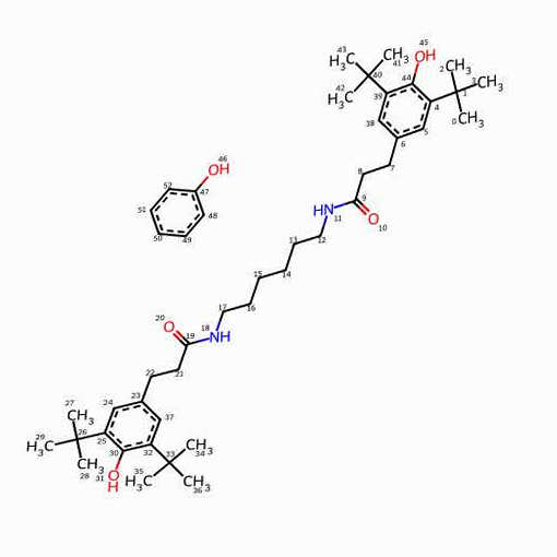 CC(C)(C)c1cc(CCC(=O)NCCCCCCNC(=O)CCc2cc(C(C)(C)C)c(O)c(C(C)(C)C)c2)cc(C(C)(C)C)c1O.Oc1ccccc1